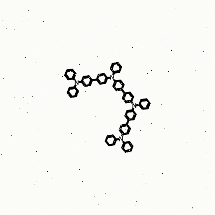 C1=CC(N(c2ccccc2)c2ccc(-c3ccc(N(c4ccccc4)c4ccc(-c5ccc(N(c6ccccc6)c6ccc(-c7ccc(N(c8ccccc8)c8ccccc8)cc7)cc6)cc5)cc4)cc3)cc2)=CCC1